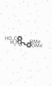 COc1ccc(C=CC(=O)c2cccc(C(=O)O)c2N)cc1OC